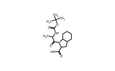 CC(NC(=O)OC(C)(C)C)C(=O)N1C(C(=O)O)CC2CCCCC21